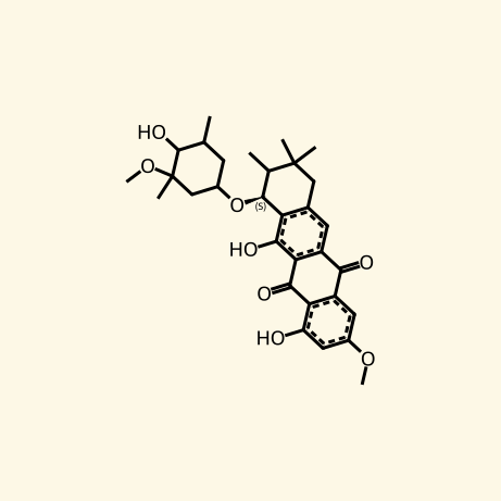 COc1cc(O)c2c(c1)C(=O)c1cc3c(c(O)c1C2=O)[C@@H](OC1CC(C)C(O)C(C)(OC)C1)C(C)C(C)(C)C3